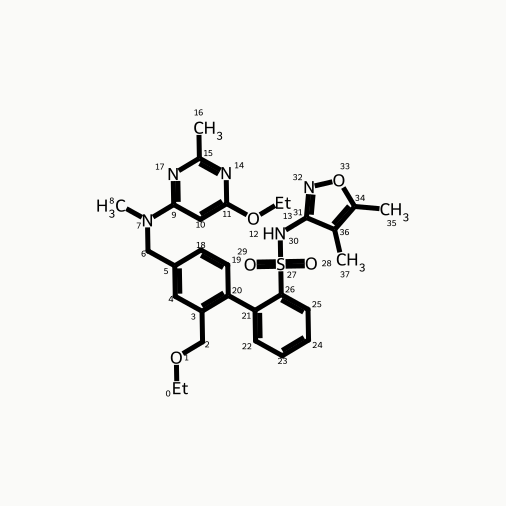 CCOCc1cc(CN(C)c2cc(OCC)nc(C)n2)ccc1-c1ccccc1S(=O)(=O)Nc1noc(C)c1C